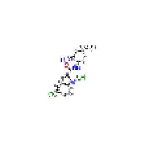 CCOC(=O)[C@@H]1CCC(NC(=O)c2cc3cc(Cl)ccc3[nH]2)C(N)C1.Cl